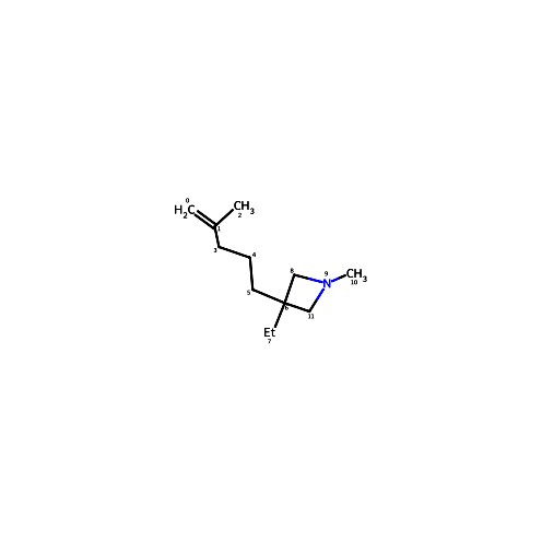 C=C(C)CCCC1(CC)CN(C)C1